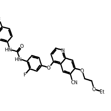 CCOCCOc1cc2nccc(Oc3ccc(NC(=O)Nc4ccc(F)cc4)c(F)c3)c2cc1C#N